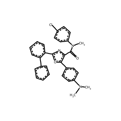 CN(C)c1ccc(-c2oc(-c3ccccc3-c3ccccc3)nc2C(=O)N(C)c2ccc(Cl)cc2)cc1